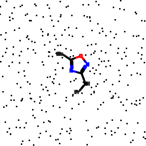 CC(C)Bc1noc(C(C)(C)C)n1